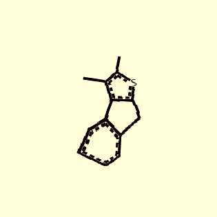 Cc1sc2c(c1C)-c1ccccc1C2